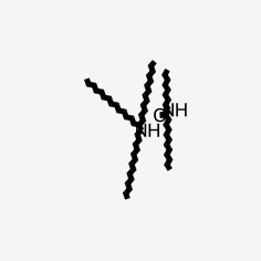 CCCCCCCCCCCC(=O)NCCCCCCCC.CCCCCCCCCCCCCCNC(CCCCCCCCCCCCC)CCCCCCCCCCCCCC